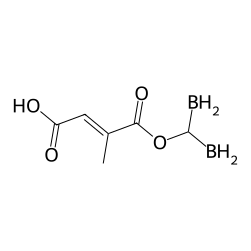 BC(B)OC(=O)/C(C)=C/C(=O)O